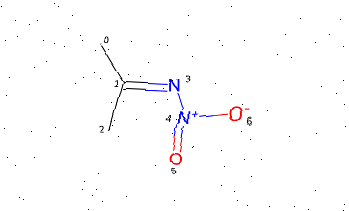 CC(C)=N[N+](=O)[O-]